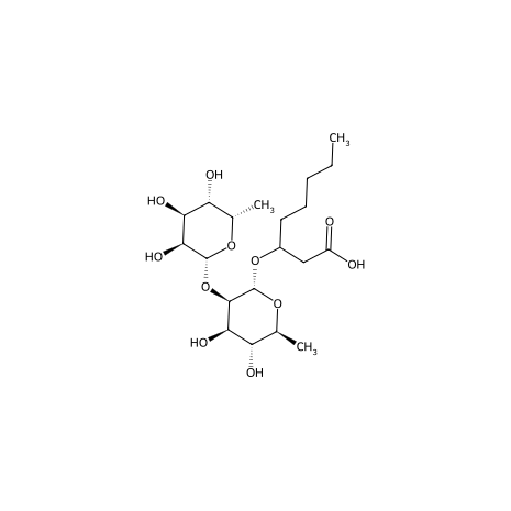 CCCCCC(CC(=O)O)O[C@@H]1O[C@@H](C)[C@H](O)[C@@H](O)[C@H]1O[C@H]1O[C@@H](C)[C@@H](O)[C@H](O)[C@@H]1O